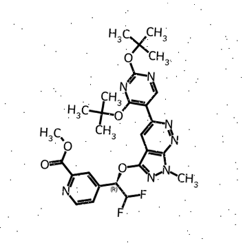 COC(=O)c1cc([C@@H](Oc2nn(C)c3nnc(-c4cnc(OC(C)(C)C)nc4OC(C)(C)C)cc23)C(F)F)ccn1